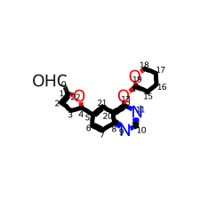 O=CC1=CCC(c2ccc3ncnc(OC4CCCCO4)c3c2)O1